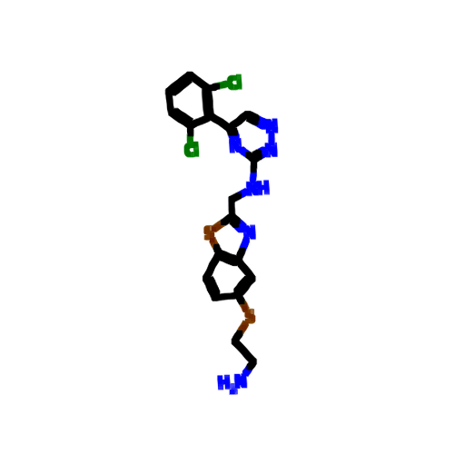 NCCSc1ccc2sc(CNc3nncc(-c4c(Cl)cccc4Cl)n3)nc2c1